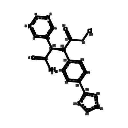 NC(=O)[C@@H](c1cncnc1)N(C(=O)CCl)c1ccc(-c2cncs2)cc1